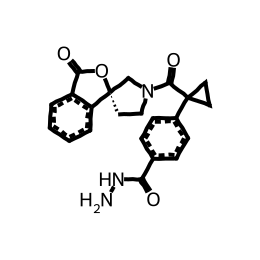 NNC(=O)c1ccc(C2(C(=O)N3CC[C@@]4(C3)OC(=O)c3ccccc34)CC2)cc1